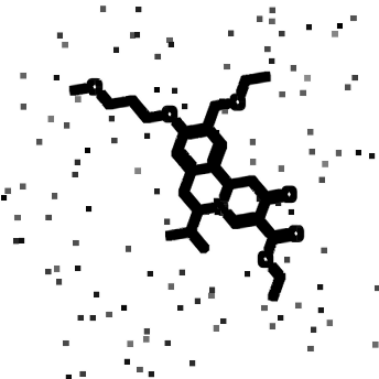 CCOCc1cc2c(cc1OCCCOC)CC(C(C)C)N1C=C(C(=O)OCC)C(=O)CC21